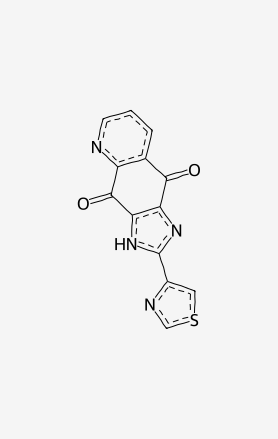 O=C1c2cccnc2C(=O)c2[nH]c(-c3cscn3)nc21